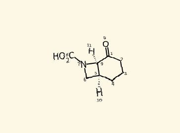 O=C1CCC[C@H]2CN(C(=O)O)[C@@H]12